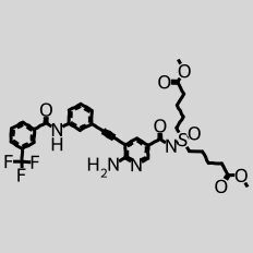 COC(=O)CCCCS(=O)(CCCCC(=O)OC)=NC(=O)c1cnc(N)c(C#Cc2cccc(NC(=O)c3cccc(C(F)(F)F)c3)c2)c1